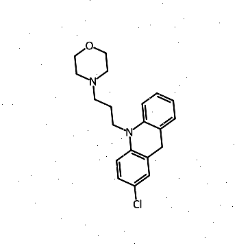 Clc1ccc2c(c1)Cc1ccccc1N2CCCN1CCOCC1